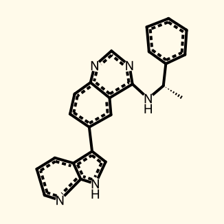 C[C@H](Nc1ncnc2ccc(-c3c[nH]c4ncccc34)cc12)c1ccccc1